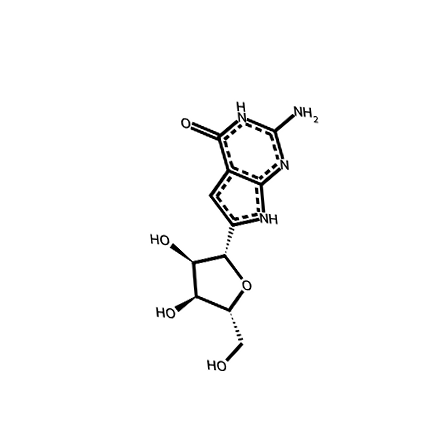 Nc1nc2[nH]c([C@@H]3O[C@H](CO)[C@@H](O)[C@H]3O)cc2c(=O)[nH]1